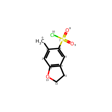 Cc1cc2c(cc1S(=O)(=O)Cl)CCO2